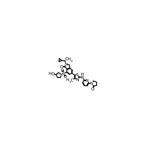 Cc1nc(Nc2cccc(N3CCCC3=O)n2)sc1-c1cc2c(c(S(=O)(=O)N3CCC(O)C3)c1)C(=O)N([C@@H](C)C1CC1)C2